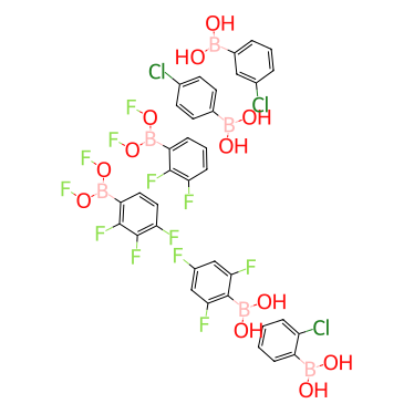 FOB(OF)c1ccc(F)c(F)c1F.FOB(OF)c1cccc(F)c1F.OB(O)c1c(F)cc(F)cc1F.OB(O)c1ccc(Cl)cc1.OB(O)c1cccc(Cl)c1.OB(O)c1ccccc1Cl